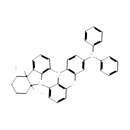 CC12CCCCC1(C)N1c3cccc4c3N(c3ccc(N(c5ccccc5)c5ccccc5)cc3O4)c3cccc2c31